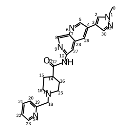 Cn1cc(-c2cnc3cnc(NC(=O)C4CCN(Cc5ccccn5)CC4)cc3c2)cn1